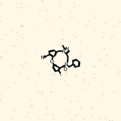 Cc1ncc2n1Cc1ccc(C#N)c(c1)Oc1ccc(I)c(c1)C(=O)N(Cc1ccccc1)CC2